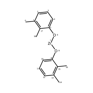 Cc1cccc([O][Zr][O]c2cccc(C)c2C)c1C